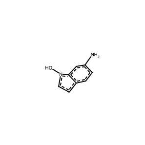 Nc1ccc2ccn(O)c2c1